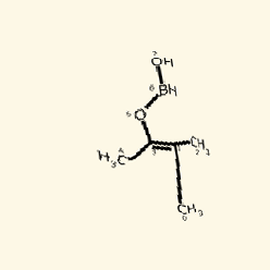 CC(C)=C(C)OBO